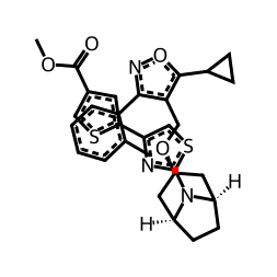 COC(=O)c1csc(-c2csc(N3[C@@H]4CC[C@H]3C[C@@H](OCc3c(-c5ccccc5C)noc3C3CC3)C4)n2)c1